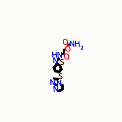 NC(=O)OCC(=O)Nc1nc2ccc(Sc3cnc4ncccn34)cc2s1